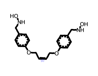 ONCc1ccc(OC/C=C\COc2ccc(CNO)cc2)cc1